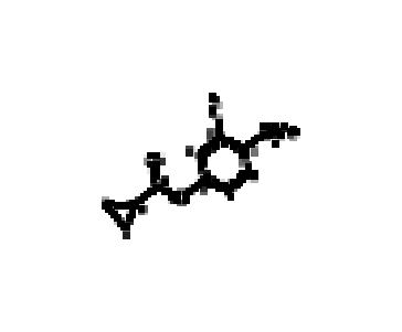 COc1ccc(OC(=O)C2CC2)cc1Cl